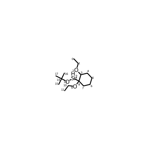 CCOC1CCCCC1(OCC)[SiH2]OC(C)(C)C